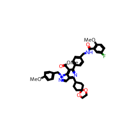 COC(=O)c1c(-c2ccc(CNC(=O)c3cc(F)ccc3OC)cc2)nc(C2CCC3(CC2)OCCO3)c2cnn(Cc3ccc(OC)cc3)c12